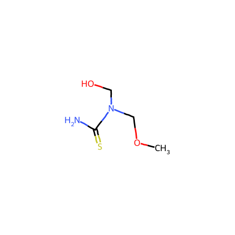 COCN(CO)C(N)=S